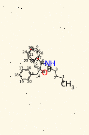 CCCCB1N[C@H](C2CCCCC2)C(Cc2ccccc2)(Cc2ccccc2)O1